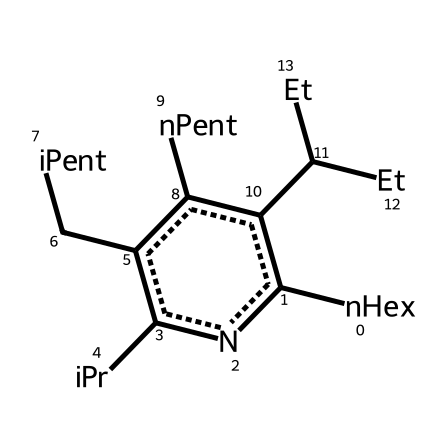 CCCCCCc1nc(C(C)C)c(CC(C)CCC)c(CCCCC)c1C(CC)CC